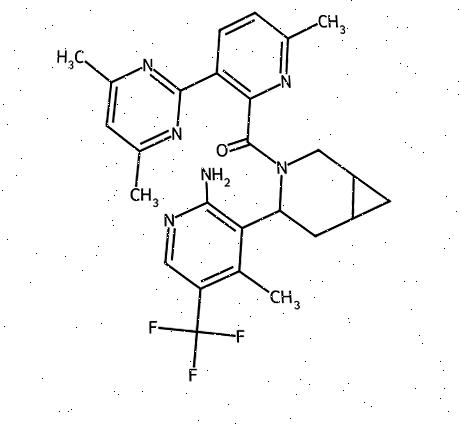 Cc1cc(C)nc(-c2ccc(C)nc2C(=O)N2CC3CC3CC2c2c(N)ncc(C(F)(F)F)c2C)n1